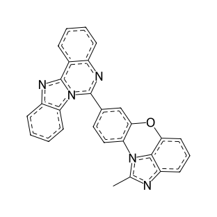 Cc1nc2cccc3c2n1-c1ccc(-c2nc4ccccc4c4nc5ccccc5n24)cc1O3